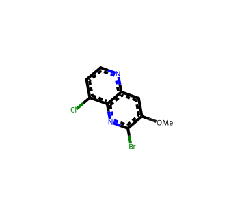 COc1cc2nccc(Cl)c2nc1Br